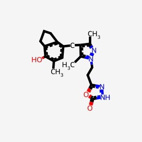 Cc1cc(Cc2c(C)nn(CCc3n[nH]c(=O)o3)c2C)c2c(c1O)CCC2